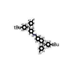 Cc1ccc(N(c2ccc(/C=C/c3ccc4cc(N(c5ccc(C)cc5)c5ccc(C(C)(C)C)cc5)ccc4c3)cc2)c2ccc(C(C)(C)C)cc2)cc1